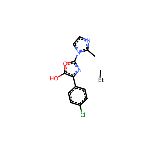 CCC.Cc1nccn1-c1nc(-c2ccc(Cl)cc2)c(O)o1